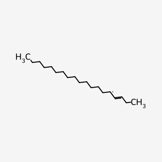 CCC=C[CH]CCCCCCCCCCCCCC